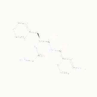 C[C@H](N)C(=O)N[C@@H](Cc1ccccc1)C(=O)NC(=O)c1cccc(I)c1